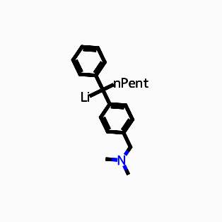 [Li][C](CCCCC)(c1ccccc1)c1ccc(CN(C)C)cc1